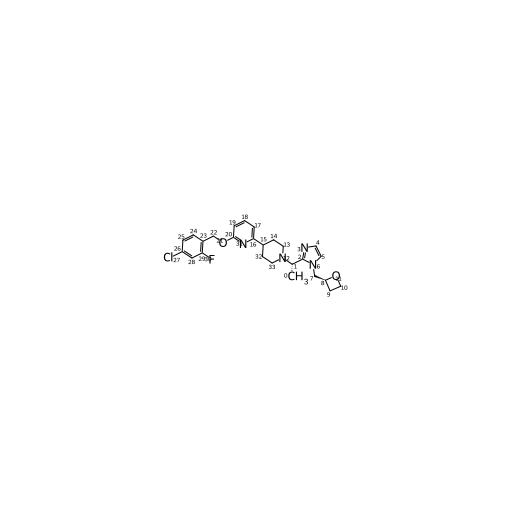 C[C@@H](c1nccn1C[C@@H]1CCO1)N1CCC(c2cccc(OCc3ccc(Cl)cc3F)n2)CC1